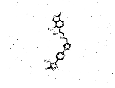 Cc1c([C@@H](O)CNCc2cnn(-c3ccc(-c4noc(=O)n4C)cn3)c2)ccc2c1COC2=O